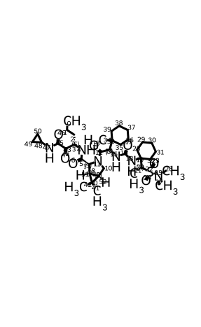 CCC[C@H](NC(=O)[C@@H]1[C@@H]2[C@H](CN1C(=O)[C@@H](NC(=O)NC1([C@@H](C)S(=O)(=O)N(C)C)CCCCC1)C1(C)CCCCC1)C2(C)C)C(=O)C(=O)NC1CC1